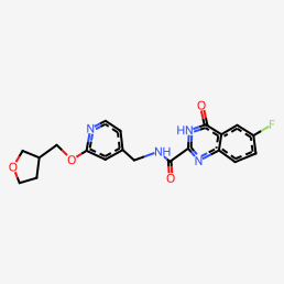 O=C(NCc1ccnc(OCC2CCOC2)c1)c1nc2ccc(F)cc2c(=O)[nH]1